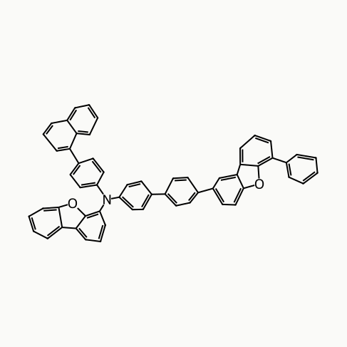 c1ccc(-c2cccc3c2oc2ccc(-c4ccc(-c5ccc(N(c6ccc(-c7cccc8ccccc78)cc6)c6cccc7c6oc6ccccc67)cc5)cc4)cc23)cc1